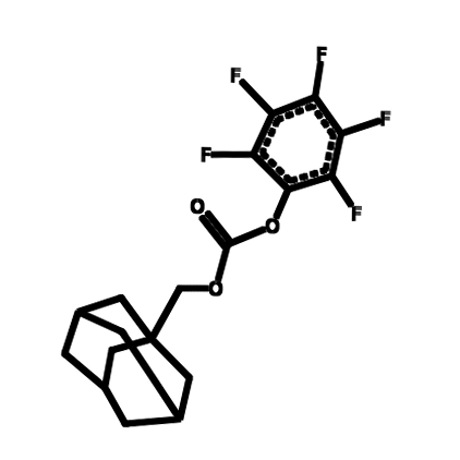 O=C(OCC12CC3CC(CC(C3)C1)C2)Oc1c(F)c(F)c(F)c(F)c1F